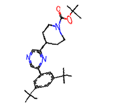 CC(C)(C)OC(=O)N1CCC(c2cncc(-c3cc(C(C)(C)C)cc(C(C)(C)C)c3)n2)CC1